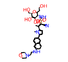 C/C(=C(/C#N)S(=O)(=O)N[C@H]1C(CCO)O[C@H](CO)[C@@H](O)[C@@H]1O)c1ccc(-c2ccc3cc(NCCN4CCOCC4)ccc3c2)n1C